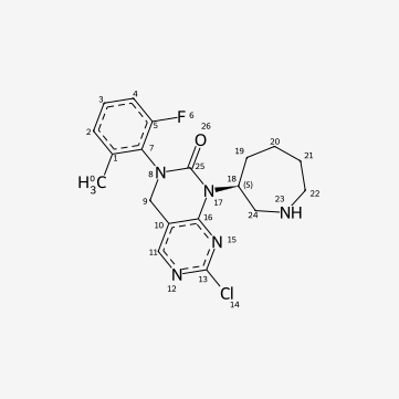 Cc1cccc(F)c1N1Cc2cnc(Cl)nc2N([C@H]2CCCCNC2)C1=O